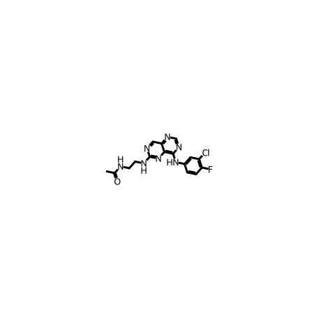 CC(=O)NCCNc1ncc2ncnc(Nc3ccc(F)c(Cl)c3)c2n1